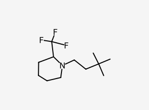 CC(C)(C)CCN1CCCCC1C(F)(F)F